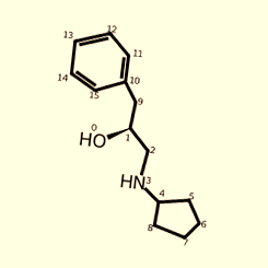 O[C@H](CNC1CCCC1)Cc1ccccc1